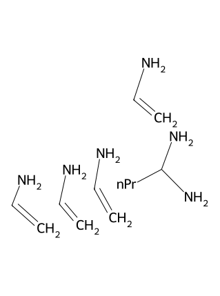 C=CN.C=CN.C=CN.C=CN.CCCC(N)N